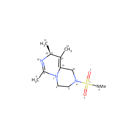 CNS(=O)(=O)N1CCN2C(C)=N[C@@H](C)C(C)=C2C1